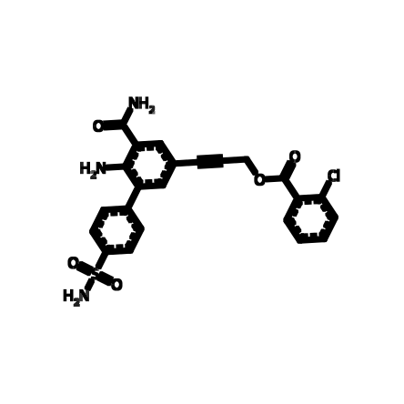 NC(=O)c1cc(C#CCOC(=O)c2ccccc2Cl)cc(-c2ccc(S(N)(=O)=O)cc2)c1N